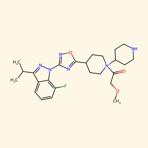 COCC(=O)[N+]1(C2CCNCC2)CCC(c2nc(-n3nc(C(C)C)c4cccc(F)c43)no2)CC1